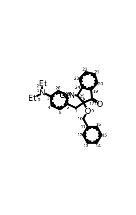 CCN(CC)c1ccc(CC2(OCc3ccccc3)C(=O)c3ccccc3C2[N+](=O)[O-])cc1